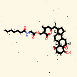 CCCCCCC(=O)NCC(=O)OCC1=C(C)CC([C@@H](C)C2CCC3C4C[C@H]5O[C@]56C(O)C=CC(=O)[C@]6(C)C4CC[C@@]32C)OC1=O